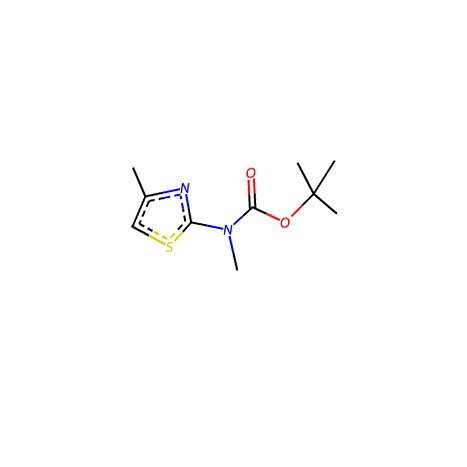 Cc1csc(N(C)C(=O)OC(C)(C)C)n1